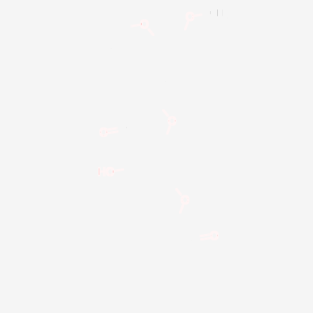 COc1ccc(-c2cc(=O)c3c(O)cc(OCC(=O)c4ccccc4)cc3o2)cc1OC1CCCC1